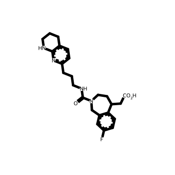 O=C(O)CC1CCN(C(=O)NCCCc2ccc3c(n2)NCCC3)Cc2cc(F)ccc21